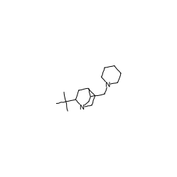 CC(C)(C)C1CC2CCN1CC2CN1CCCCC1